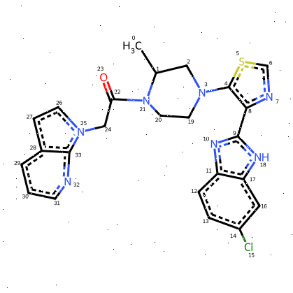 CC1CN(c2scnc2-c2nc3ccc(Cl)cc3[nH]2)CCN1C(=O)Cn1ccc2cccnc21